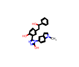 Cn1ccc2cc(-n3c(O)nnc3-c3cc(CC(O)c4c[c]ccc4)ccc3O)ccc21